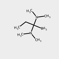 BC(CC)(N(C)C)N(C)C